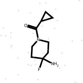 NC1(F)CCN(C(=O)C2CC2)CC1